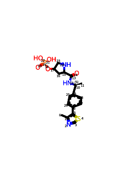 Cc1ncsc1-c1ccc([C@H](C)NC(=O)C2CC(OP(=O)(O)O)CN2)cc1